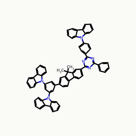 CC1(C)c2cc(-c3cc(-n4c5ccccc5c5ccccc54)cc(-n4c5ccccc5c5ccccc54)c3)ccc2-c2ccc(-c3nc(-c4ccccc4)nc(-c4ccc(-n5c6ccccc6c6ccccc65)cc4)n3)cc21